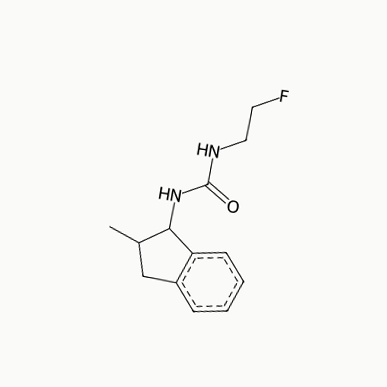 CC1Cc2ccccc2C1NC(=O)NCCF